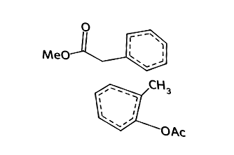 CC(=O)Oc1ccccc1C.COC(=O)Cc1ccccc1